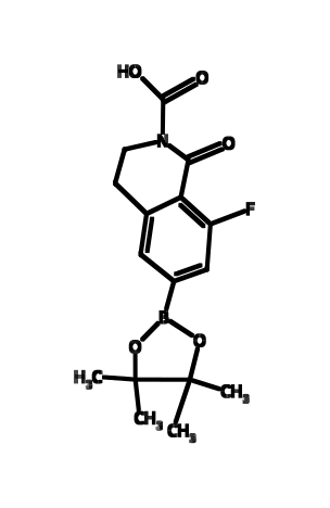 CC1(C)OB(c2cc(F)c3c(c2)CCN(C(=O)O)C3=O)OC1(C)C